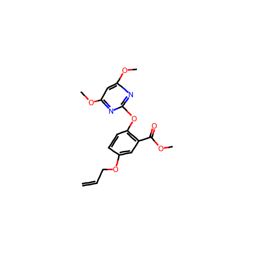 C=CCOc1ccc(Oc2nc(OC)cc(OC)n2)c(C(=O)OC)c1